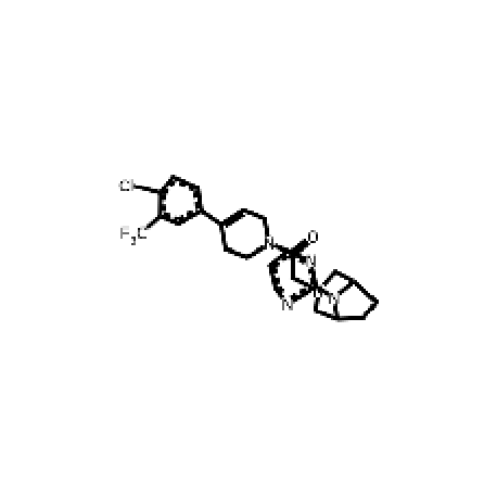 O=C(CN1CC2CCC(C1)N2c1ncccn1)N1CC=C(c2ccc(Cl)c(C(F)(F)F)c2)CC1